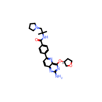 CC(C)(CN1CCCC1)NC(=O)c1ccc(-c2ccc3nc(N)nc(O[C@H]4CCOC4)c3n2)cc1